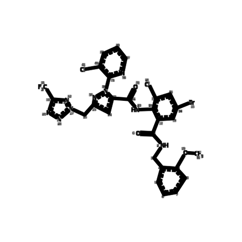 O=C(NCc1ccccc1OC(F)(F)F)c1cc(Br)cc(Cl)c1NC(=O)c1cc(Cn2nnc(C(F)(F)F)n2)nn1-c1ncccc1Cl